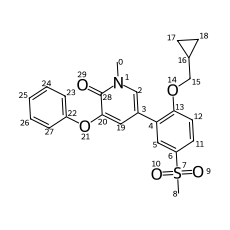 Cn1cc(-c2cc(S(C)(=O)=O)ccc2OCC2CC2)cc(Oc2ccccc2)c1=O